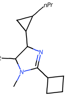 CCCC1CC1C1N=C(C2CCC2)N(C)C1CC